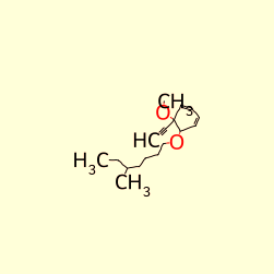 C#CC1(OC)C=CC=CC1OCCCCC(C)CC